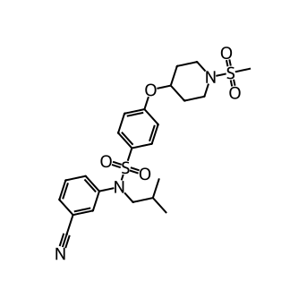 CC(C)CN(c1cccc(C#N)c1)S(=O)(=O)c1ccc(OC2CCN(S(C)(=O)=O)CC2)cc1